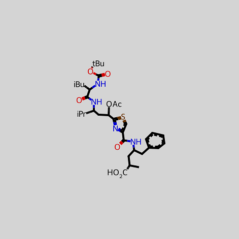 CCC(C)C(NC(=O)OC(C)(C)C)C(=O)NC(CC(OC(C)=O)c1nc(C(=O)NC(Cc2ccccc2)CC(C)C(=O)O)cs1)C(C)C